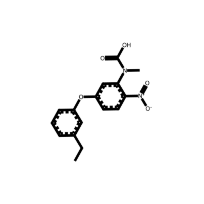 CCc1cccc(Oc2ccc([N+](=O)[O-])c(N(C)C(=O)O)c2)c1